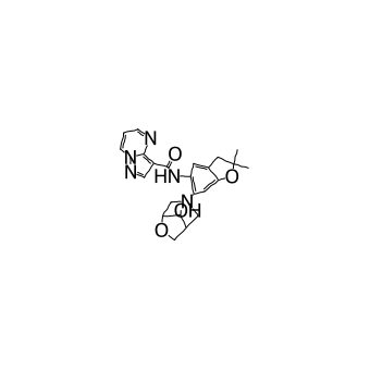 CC1(C)Cc2cc(NC(=O)c3cnn4cccnc34)c(N3CC4COC(C3)C4O)cc2O1